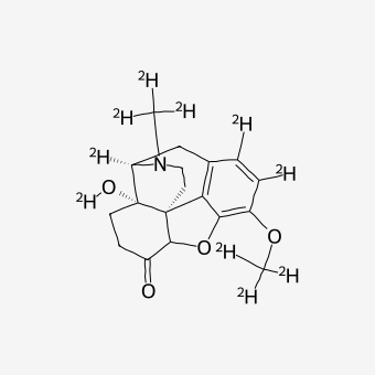 [2H]O[C@@]12CCC(=O)C3Oc4c(OC([2H])([2H])[2H])c([2H])c([2H])c5c4[C@@]31CCN(C([2H])([2H])[2H])[C@]2([2H])C5